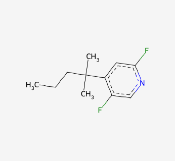 CCCC(C)(C)c1cc(F)ncc1F